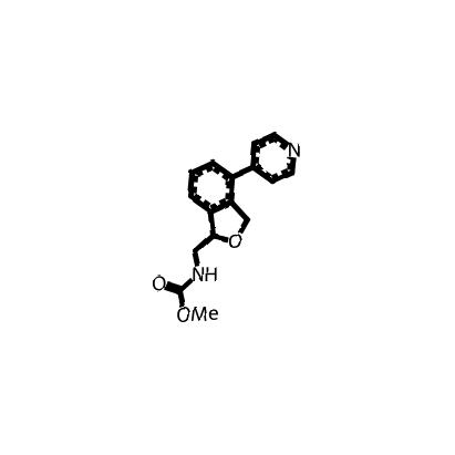 COC(=O)NCC1OCc2c(-c3ccncc3)cccc21